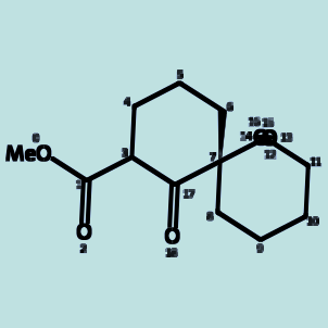 COC(=O)C1CCC[C@@]2(CCCCC23OCCO3)C1=O